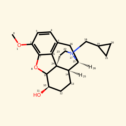 COc1ccc2c3c1OC1[C@H](O)CC[C@@H]4[C@H](C2)N(CC2CC2)CC[C@@]314